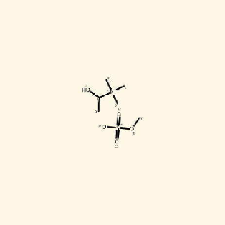 CC(O)[N+](C)(C)C.COS(=O)(=O)[O-]